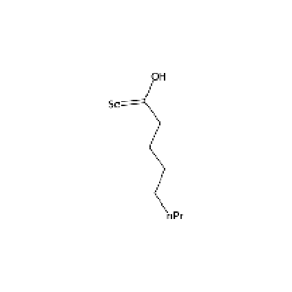 CCCCCCCC(O)=[Se]